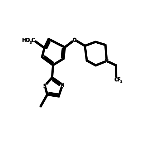 Cc1cnc(-c2cc(OC3CCN(CC(F)(F)F)CC3)cc(C(=O)O)c2)s1